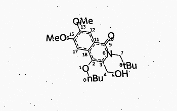 CCCCOc1c(CO)n(CC(C)(C)C)c(=O)c2cc(OC)c(OC)cc12